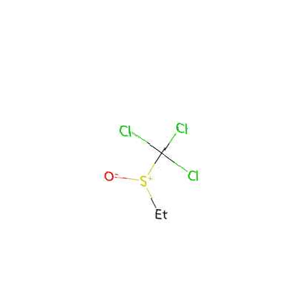 [CH2]C[S+]([O-])C(Cl)(Cl)Cl